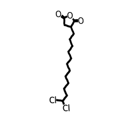 O=C1CC(CCCCCCCCCCCC(Cl)Cl)C(=O)O1